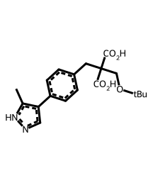 Cc1[nH]ncc1-c1ccc(CC(COC(C)(C)C)(C(=O)O)C(=O)O)cc1